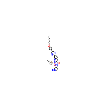 CCCCCCCOc1ccc(-c2cnc(-c3ccc(C[C@H](NC(=O)c4ccc(C(C)(C)C)s4)C(=O)NCC4CCNCC4)cc3)nc2)cc1